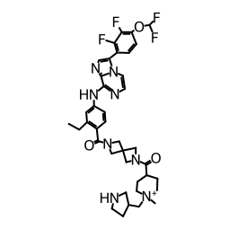 CCc1cc(Nc2nccn3c(-c4ccc(OC(F)F)c(F)c4F)cnc23)ccc1C(=O)N1CC2(C1)CN(C(=O)C1CC[N+](C)(CC3CCNC3)CC1)C2